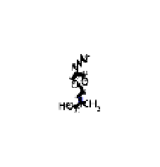 C/C(=C\CC1OCC(N=[N+]=[N-])CO1)CO